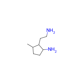 CC1CCC(N)C1CCN